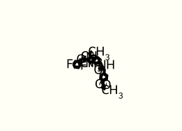 CCn1c(C(C)(C)Oc2cc(F)ccc2F)nc2cc(NC(=O)Cc3ccc(S(=O)(=O)CC)cc3)ccc21